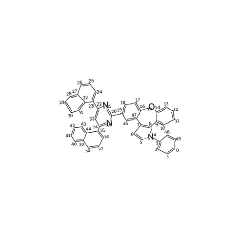 c1ccc(-n2ccc3c2-c2ccccc2Oc2ccc(-c4nc(-c5cccc6ccccc56)cc(-c5cccc6ccccc56)n4)cc2-3)cc1